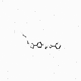 COCCOCC(=O)N1CCC(c2ccc(NC(=O)N3CC(c4cccnc4)C3)cc2)C1